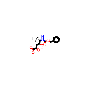 C[C@H](NC(=O)OCc1ccccc1)[C@H](O)CC(=O)C(=O)O